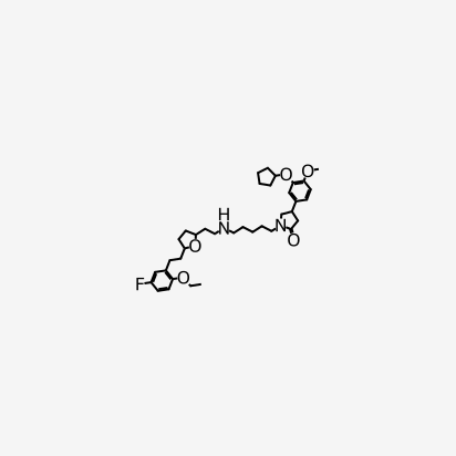 CCOc1ccc(F)cc1CCC1CCC(CCNCCCCCN2CC(c3ccc(OC)c(OC4CCCC4)c3)CC2=O)O1